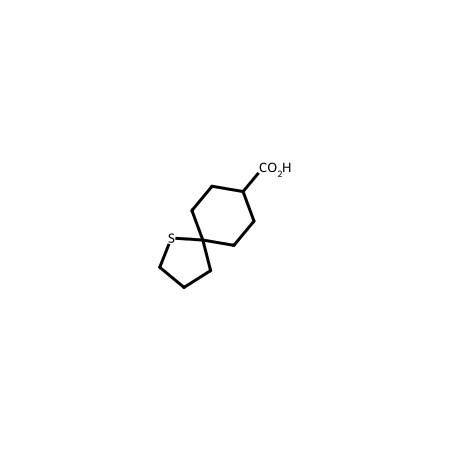 O=C(O)C1CCC2(CCCS2)CC1